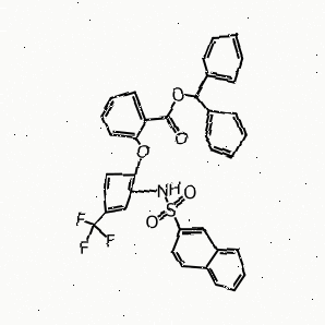 O=C(OC(c1ccccc1)c1ccccc1)c1ccccc1Oc1ccc(C(F)(F)F)cc1NS(=O)(=O)c1ccc2ccccc2c1